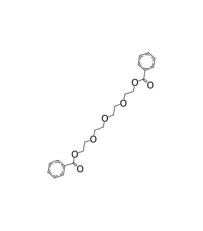 O=C(OCCOCCOCCOCCOC(=O)c1ccccc1)c1ccccc1